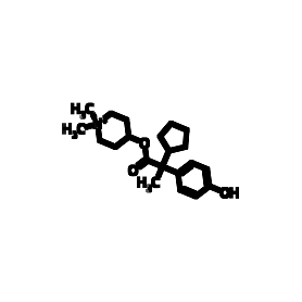 CC(C(=O)OC1CC[N+](C)(C)CC1)(c1ccc(O)cc1)C1CCCC1